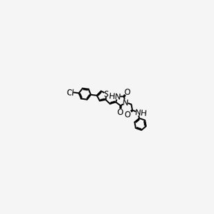 O=C(CN1C(=O)N/C(=C\c2cc(-c3ccc(Cl)cc3)cs2)C1=O)Nc1ccccc1